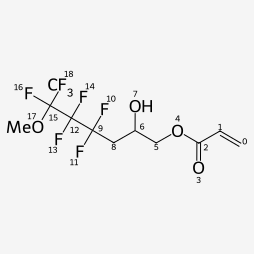 C=CC(=O)OCC(O)CC(F)(F)C(F)(F)C(F)(OC)C(F)(F)F